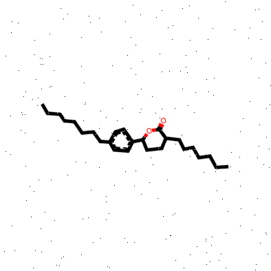 CCCCCCCCc1ccc(C2CCC(CCCCCCC)C(=O)O2)cc1